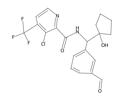 O=Cc1cccc(C(NC(=O)c2nccc(C(F)(F)F)c2Cl)C2(O)CCCC2)c1